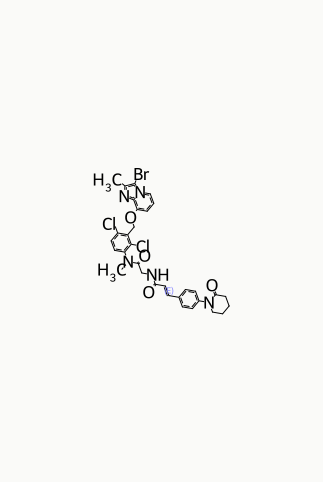 Cc1nc2c(OCc3c(Cl)ccc(N(C)C(=O)CNC(=O)/C=C/c4ccc(N5CCCCC5=O)cc4)c3Cl)cccn2c1Br